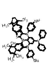 CC(C)(C)c1ccc(N2c3cc4c(cc3B3c5sc6cc7c(cc6c5N(c5ccc(C(C)(C)C)cc5)c5cc(N(c6ccccc6)c6ccccc6)cc2c53)C2(C)CCC7(C)CC2)C(C)(C)CCC4(C)C)cc1